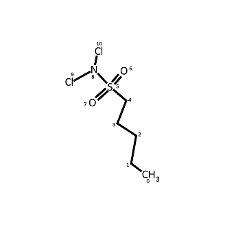 CCCCCS(=O)(=O)N(Cl)Cl